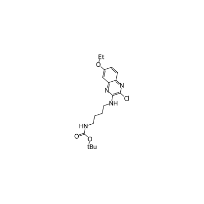 CCOc1ccc2nc(Cl)c(NCCCCNC(=O)OC(C)(C)C)nc2c1